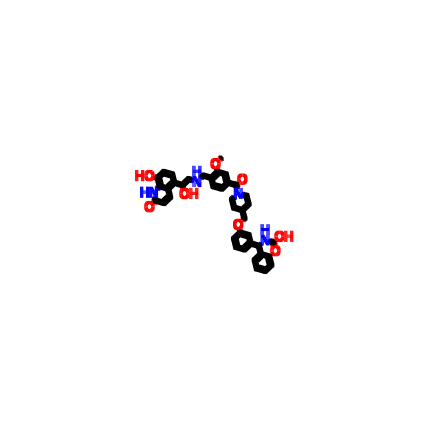 COc1cc(C(=O)N2CCC(COc3cccc([C@@H](NC(=O)O)c4ccccc4)c3)CC2)ccc1CNCC(O)c1ccc(O)c2[nH]c(=O)ccc12